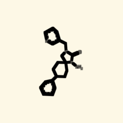 NN1C(=O)N(Cc2cccnc2)CC12CCC(c1ccccc1)CC2